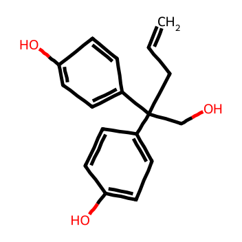 C=CCC(CO)(c1ccc(O)cc1)c1ccc(O)cc1